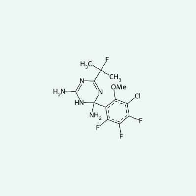 COc1c(Cl)c(F)c(F)c(F)c1C1(N)N=C(C(C)(C)F)N=C(N)N1